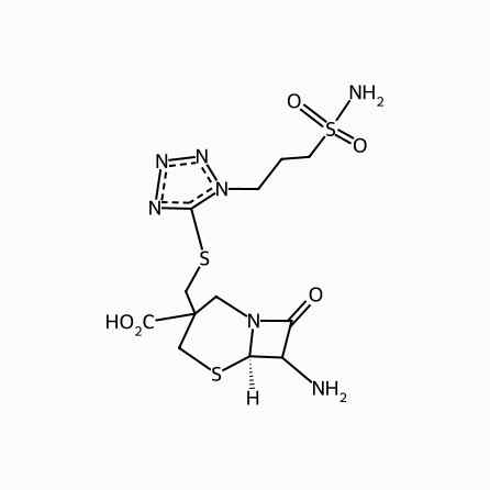 NC1C(=O)N2CC(CSc3nnnn3CCCS(N)(=O)=O)(C(=O)O)CS[C@H]12